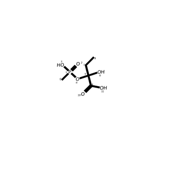 [CH2]P(=O)(O)OC(O)(CC)C(=O)O